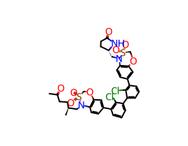 CC(=O)CC[C@H](C)CN1c2ccc(-c3cccc(-c4cccc(-c5ccc6c(c5)OCS(=O)(=O)N6C[C@@H]5CCC(=O)N5)c4Cl)c3Cl)cc2OCS1(=O)=O